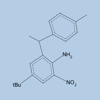 Cc1ccc(C(C)c2cc(C(C)(C)C)cc([N+](=O)[O-])c2N)cc1